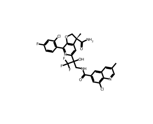 Cc1cnc2c(Cl)cc(C(=O)NCC(O)(c3cc4c(c(-c5ccc(F)cc5Cl)n3)OC[C@]4(C)C(N)=O)C(F)(F)F)cc2c1